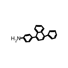 Nc1ccc(-c2ccc(-c3ccccc3)c3ccccc23)cc1